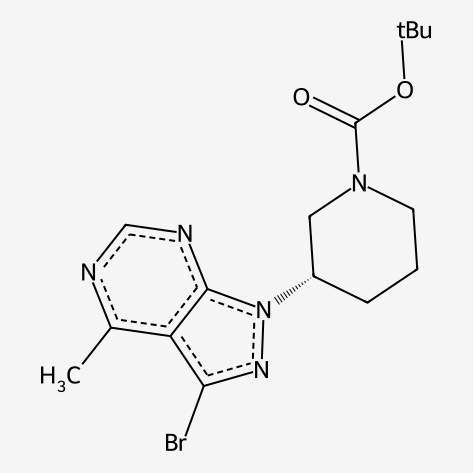 Cc1ncnc2c1c(Br)nn2[C@H]1CCCN(C(=O)OC(C)(C)C)C1